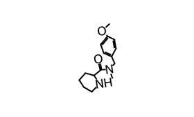 COc1ccc(CN(C)C(=O)C2CCCCN2)cc1